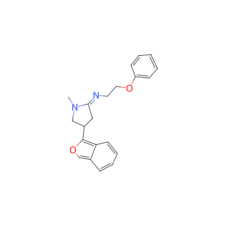 CN1CC(c2occ3ccccc23)CC1=NCCOc1ccccc1